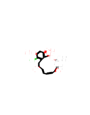 C[C@@H]1C[C@H]2OC2/C=C\C=C\C(=O)Cc2c(Cl)c(O)cc(O)c2C(=O)O1